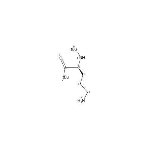 CC(C)(C)N[C@@H](CCCN)C(=O)C(C)(C)C